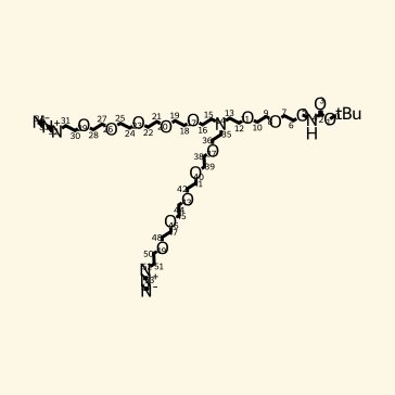 CC(C)(C)OC(=O)NOCCOCCOCCN(CCOCCOCCOCCOCCOCCN=[N+]=[N-])CCOCCOCCOCCOCCOCCN=[N+]=[N-]